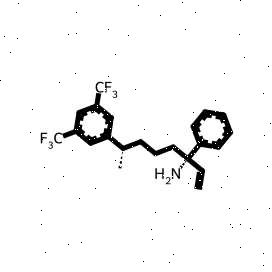 C=C[C@@](N)(CCC[C@H](C)c1cc(C(F)(F)F)cc(C(F)(F)F)c1)c1ccccc1